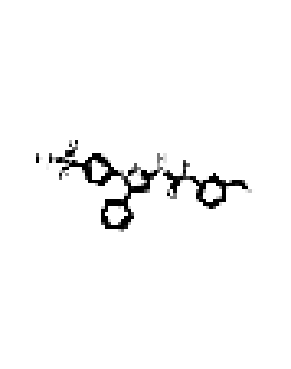 NS(=O)(=O)c1ccc(-n2nc(NC(=O)Nc3cccc(CF)c3)cc2-c2ccccc2)cc1